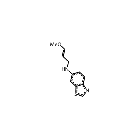 COC=CCNc1ccc2ncsc2c1